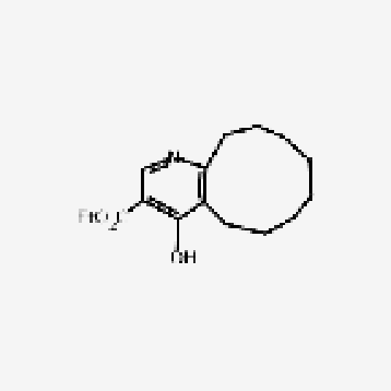 CCOC(=O)c1cnc2c(c1O)CCCCCCCC2